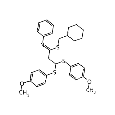 COc1ccc(SC(CC(=Nc2ccccc2)SCC2CCCCC2)Sc2ccc(OC)cc2)cc1